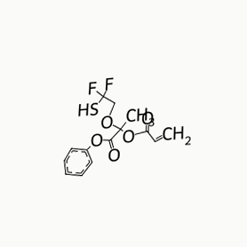 C=CC(=O)OC(C)(OCC(F)(F)S)C(=O)Oc1ccccc1